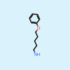 [NH]CCCCCOc1ccccc1